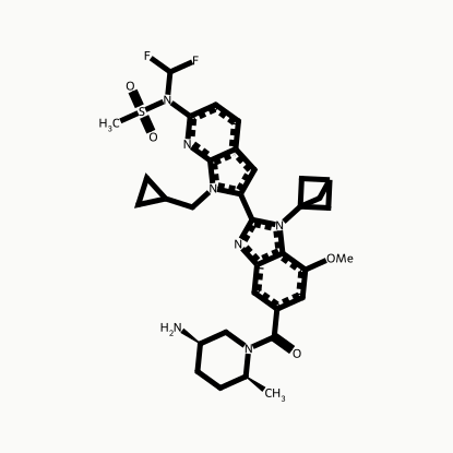 COc1cc(C(=O)N2C[C@H](N)CC[C@@H]2C)cc2nc(-c3cc4ccc(N(C(F)F)S(C)(=O)=O)nc4n3CC3CC3)n(C34CC(C3)C4)c12